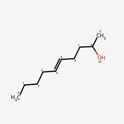 CCCCC=CCCC(C)O